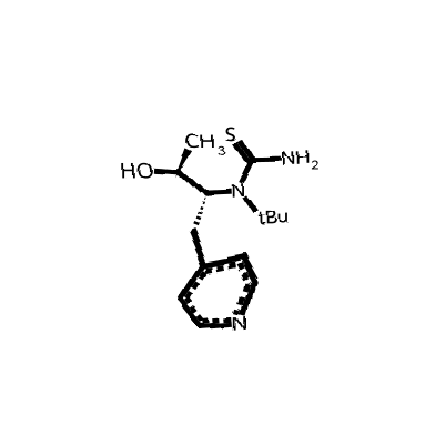 C[C@H](O)[C@@H](Cc1ccncc1)N(C(N)=S)C(C)(C)C